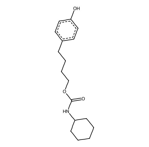 O=C(NC1CCCCC1)OCCCCc1ccc(O)cc1